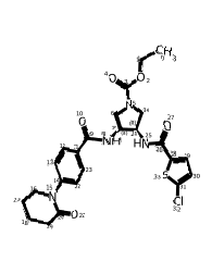 CCOC(=O)N1C[C@H](NC(=O)c2ccc(N3CCCCC3=O)cc2)[C@H](NC(=O)c2ccc(Cl)s2)C1